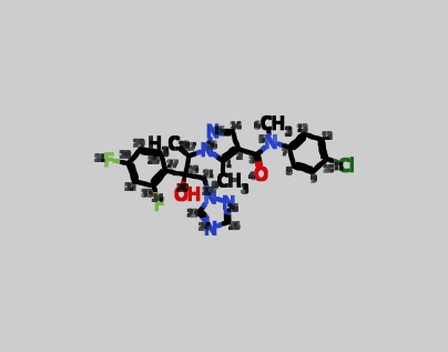 Cc1c(C(=O)N(C)c2ccc(Cl)cc2)cnn1[C@H](C)[C@](O)(Cn1cncn1)c1ccc(F)cc1F